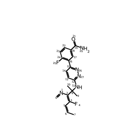 C=N/C(=C(F)\C=C/C)C(C)(C)Nc1ccc(-c2cc(C(N)=O)ccc2F)nn1